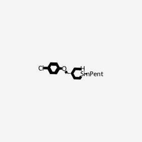 CCCCC[Si@H]1CC[C@H](COc2ccc(Cl)cc2)CC1